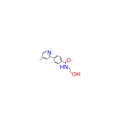 Cc1ccnc(-c2ccc(C(=O)NCCO)cc2)c1